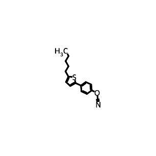 CCCCCc1ccc(-c2ccc(OC#N)cc2)s1